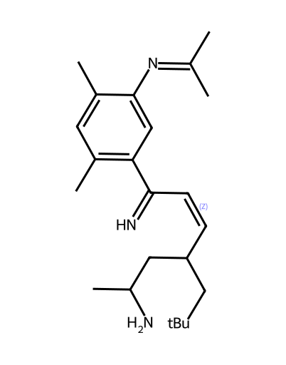 CC(C)=Nc1cc(C(=N)/C=C\C(CC(C)N)CC(C)(C)C)c(C)cc1C